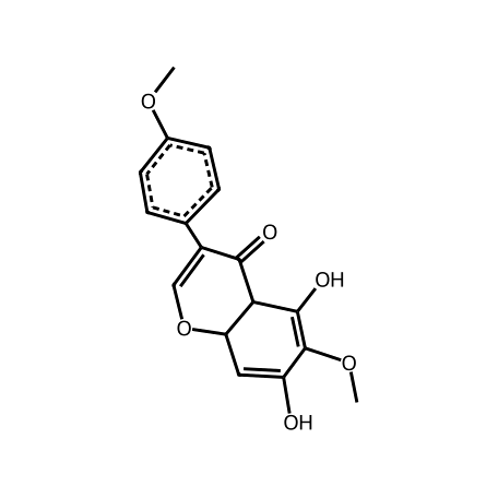 COC1=C(O)C2C(=O)C(c3ccc(OC)cc3)=COC2C=C1O